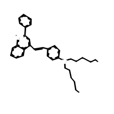 CCCCCCN(CCCCCC)c1ccc(C=Cc2cc(-c3ccccc3)[n+](C)c3ccccc23)cc1